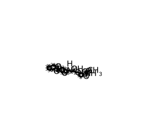 CONS(=O)(=O)c1cccc(OCC(O)CNC2COC3(CCN(S(=O)(=O)c4ccc5ccccc5c4)CC3)C2)c1